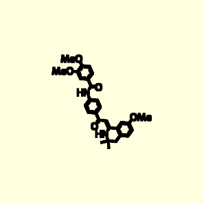 COc1ccc2c(c1)/C(=C/C(=O)c1ccc(NC(=O)c3ccc(OC)c(OC)c3)cc1)NC(C)(C)C2